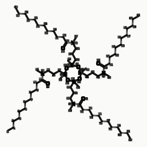 CCCCCCCCCCCC(=O)N(C)CCC[Si]1(C)O[Si](C)(CCCN(C)C(=O)CCCCCCCCCCC)O[Si](C)(CCCN(C)C(=O)CCCCCCCCCCC)O[Si](C)(CCCN(C)C(=O)CCCCCCCCCCC)O1